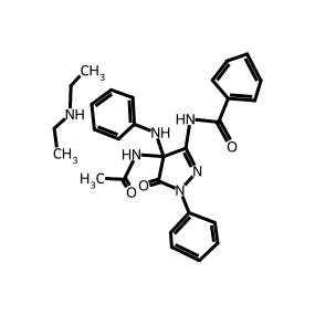 CC(=O)NC1(Nc2ccccc2)C(=O)N(c2ccccc2)N=C1NC(=O)c1ccccc1.CCNCC